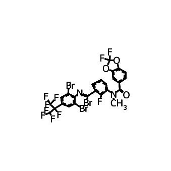 CN(C(=O)c1ccc2c(c1)OC(F)(F)O2)c1cccc(C(Br)=Nc2c(Br)cc(C(F)(C(F)(F)F)C(F)(F)F)cc2Br)c1F